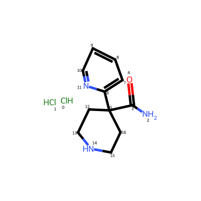 Cl.Cl.NC(=O)C1(c2ccccn2)CCNCC1